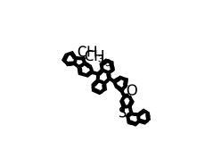 CC1(C)c2ccccc2-c2ccc(-c3c4ccccc4c(-c4ccc5oc6cc7c(cc6c5c4)sc4ccc5ccccc5c47)c4ccccc34)cc21